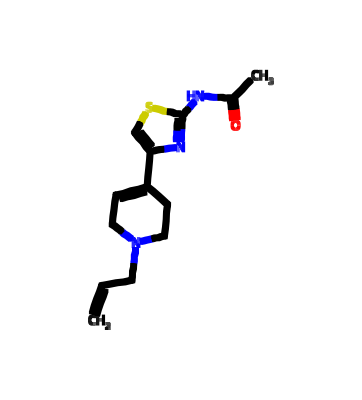 C=CCN1CC=C(c2csc(NC(C)=O)n2)CC1